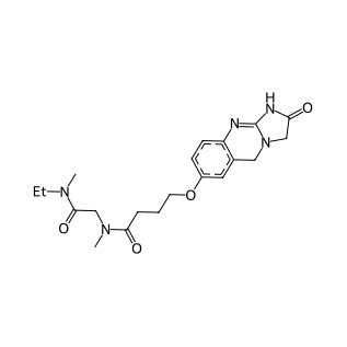 CCN(C)C(=O)CN(C)C(=O)CCCOc1ccc2c(c1)CN1CC(=O)NC1=N2